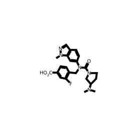 CN(C)C1CCN(C(=O)N(Cc2ccc(C(=O)O)cc2F)c2ccc3cnn(C)c3c2)C1